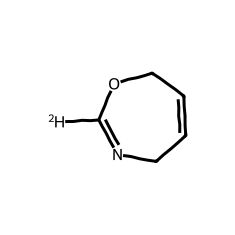 [2H]C1=NCC=CCO1